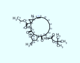 CCOC(=O)[C@@]12C[C@H]1/C=C\CCCCC[C@H](NC(=O)OC(C)(C)C)C(=O)N1C[C@@H](N)C[C@H]1C(=O)N2